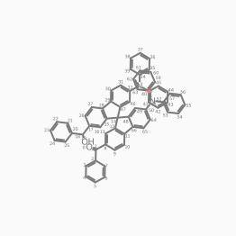 O=C(c1ccccc1)c1ccc2c(c1)C1(c3cc(C(O)c4ccccc4)ccc3-c3ccc(N(c4ccccc4)c4ccccc4)cc31)c1cc(N(c3ccccc3)c3ccccc3)ccc1-2